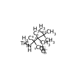 CC(C)(C)C(C)(C)C(C)(C)[NH][Ti+2].[Cl-].[Cl-]